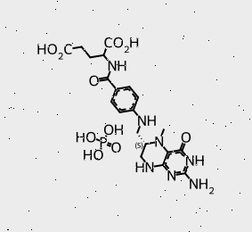 CN1c2c(nc(N)[nH]c2=O)NC[C@@H]1CNc1ccc(C(=O)NC(CCC(=O)O)C(=O)O)cc1.O=P(O)(O)O